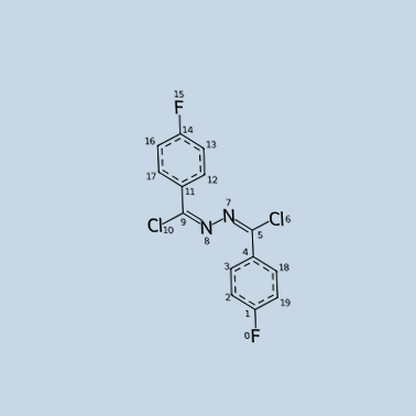 Fc1ccc(/C(Cl)=N\N=C(\Cl)c2ccc(F)cc2)cc1